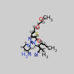 C=C/C=C\C(Cn1c(N2CCC[C@@H](N)C2)nc2cc(COCCOC)sc2c1=O)=C(/C)C#N